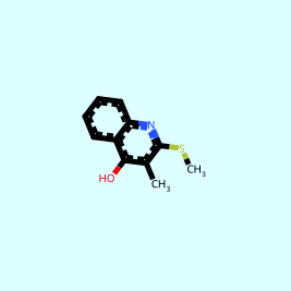 CSc1nc2ccccc2c(O)c1C